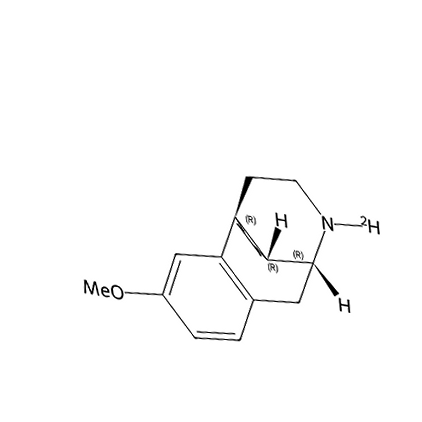 [2H]N1CC[C@]23CCCC[C@H]2[C@H]1Cc1ccc(OC)cc13